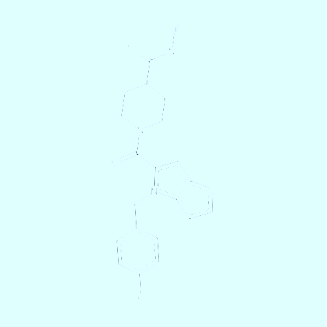 CC(C)NC(=O)C1CCN(C(=O)c2cc3sccc3n2Cc2ccc(Cl)cc2)CC1